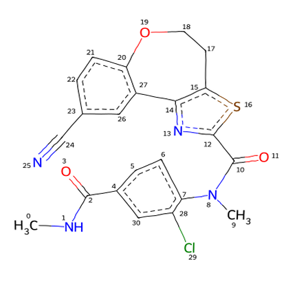 CNC(=O)c1ccc(N(C)C(=O)c2nc3c(s2)CCOc2ccc(C#N)cc2-3)c(Cl)c1